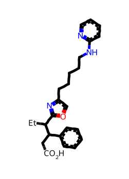 CCC(c1nc(CCCCCNc2ccccn2)co1)C(CC(=O)O)c1ccccc1